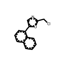 ClCc1ncc(-c2cccc3ccccc23)o1